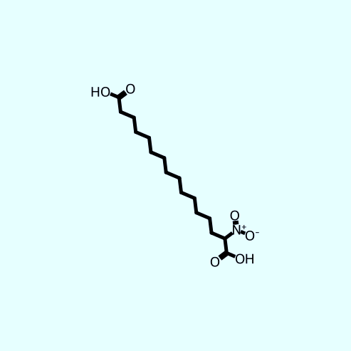 O=C(O)CCCCCCCCCCCCCC(C(=O)O)[N+](=O)[O-]